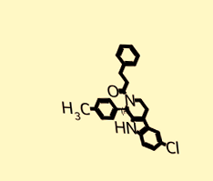 Cc1ccc([C@@H]2c3[nH]c4ccc(Cl)cc4c3CCN2C(=O)CCc2ccccc2)cc1